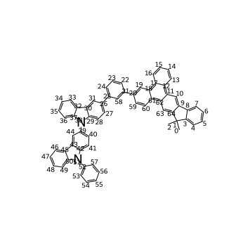 CC1(C)c2ccccc2-c2cc3c4ccccc4c4cc(-c5cccc(-c6ccc7c(c6)c6ccccc6n7-c6ccc7c(c6)c6ccccc6n7-c6ccccc6)c5)ccc4c3cc21